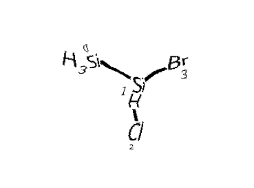 [SiH3][SiH](Cl)Br